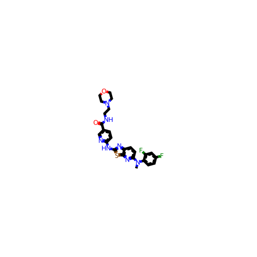 CN(c1ccc2nc(Nc3ccc(C(=O)NCCN4CCOCC4)cn3)sc2n1)c1ccc(F)cc1F